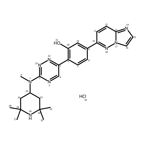 CN(c1ncc(-c2ccc(-c3ccc4nccn4n3)cc2O)nn1)C1CC(C)(C)NC(C)(C)C1.Cl